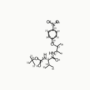 CC(NC(=O)[C@@H](NC(=O)OC(C)(C)C)C(C)C)C(C)Oc1ccc([N+](=O)[O-])cc1